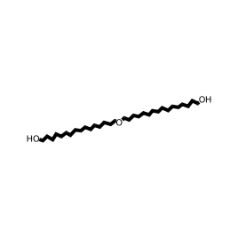 OCCCCCCCCCCCCCCCCOCCCCCCCCCCCCCCCCO